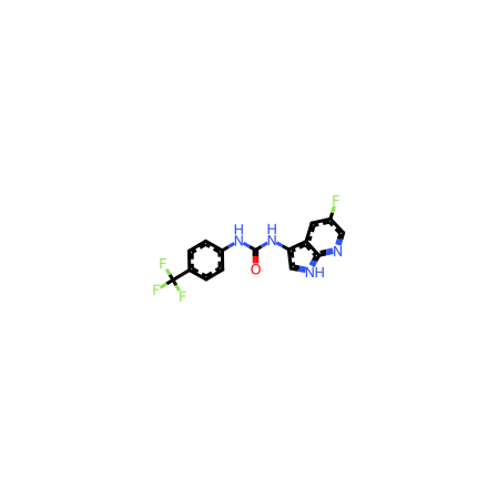 O=C(Nc1ccc(C(F)(F)F)cc1)Nc1c[nH]c2ncc(F)cc12